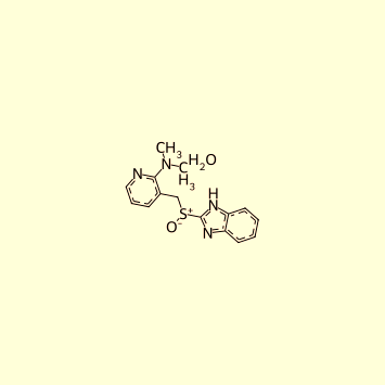 CN(C)c1ncccc1C[S+]([O-])c1nc2ccccc2[nH]1.O